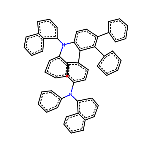 c1ccc(-c2ccc(N(c3ccccc3)c3cccc4ccccc34)c(-c3ccc(N(c4ccccc4)c4cccc5ccccc45)cc3)c2-c2ccccc2)cc1